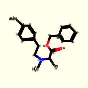 CNc1ccc(CCN(C)C(C(=O)OCc2ccccc2)C(C)C)cc1